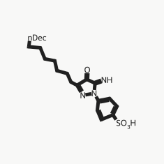 CCCCCCCCCCCCCCCCCC1=NN(c2ccc(S(=O)(=O)O)cc2)C(=N)C1=O